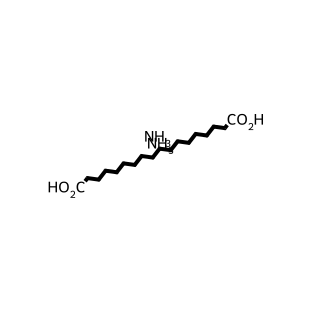 N.N.O=C(O)CCCCCCCCCCCCCCCCC(=O)O